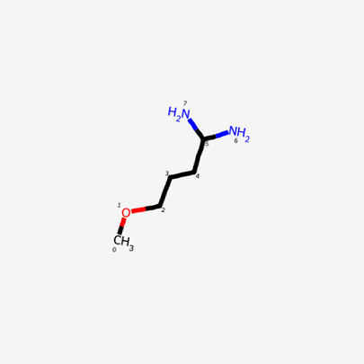 COCCCC(N)N